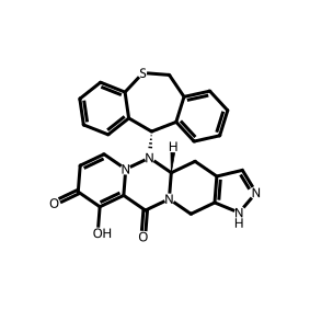 O=C1c2c(O)c(=O)ccn2N([C@H]2c3ccccc3CSc3ccccc32)[C@@H]2Cc3cn[nH]c3CN12